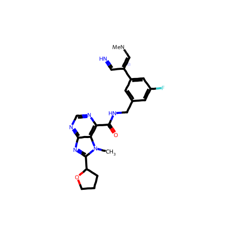 CN/C=C(\C=N)c1cc(F)cc(CNC(=O)c2ncnc3nc(C4CCCO4)n(C)c23)c1